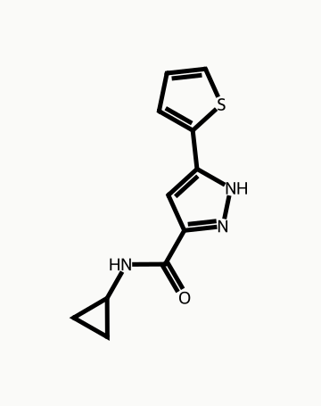 O=C(NC1CC1)c1cc(-c2cccs2)[nH]n1